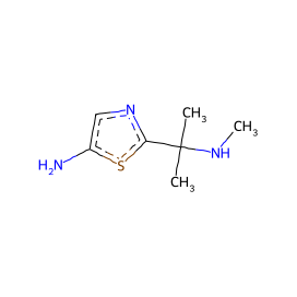 CNC(C)(C)c1ncc(N)s1